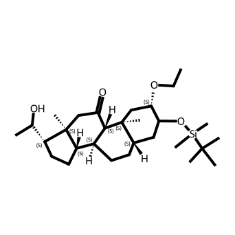 CCO[C@H]1C[C@@]2(C)[C@@H](CC[C@H]3[C@@H]4CC[C@H](C(C)O)[C@@]4(C)CC(=O)[C@@H]32)CC1O[Si](C)(C)C(C)(C)C